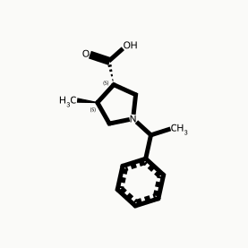 CC(c1ccccc1)N1C[C@@H](C)[C@H](C(=O)O)C1